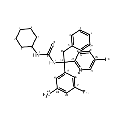 O=C(NC1CCCCC1)NC(Cc1ccccc1)(c1cc(F)cc(C(F)(F)F)c1)c1ccc(I)cn1